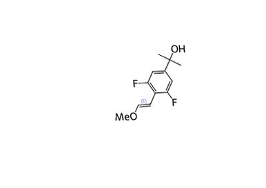 CO/C=C/c1c(F)cc(C(C)(C)O)cc1F